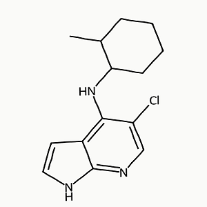 CC1CCCCC1Nc1c(Cl)cnc2[nH]ccc12